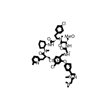 COC[C@H](NC(=O)[C@H](C)NCc1ccc(Cl)cc1Oc1ccc(-c2cnc(CN(C)C)n2C)cc1)C(=O)N(C)[C@H](CC(=O)N[C@H]1CCCC[C@@H]1N(C)C(=O)[C@@H](CC(=O)O)Cc1cccc(C)n1)Cc1ccc(Cl)cc1